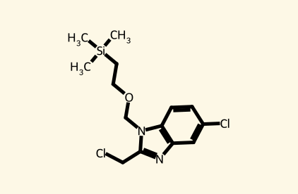 C[Si](C)(C)CCOCn1c(CCl)nc2cc(Cl)ccc21